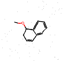 COC1CC=Cc2ccccc21